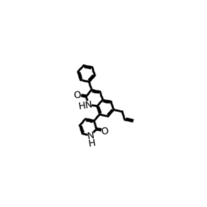 C=CCc1cc(-c2ccc[nH]c2=O)c2[nH]c(=O)c(-c3ccccc3)cc2c1